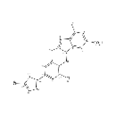 Cc1cc(C(=O)O)nc2c1nc(C)n2Cc1ccc(-c2ccc(Cl)s2)cc1Cl